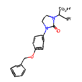 CC(C)C(C(=O)O)N1CCN(c2ccc(OCc3ccccc3)cc2)C1=O